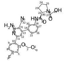 COCOc1cc(F)ccc1-c1cc(-c2cccc(NC(=O)[C@H]3CCCN3C(=O)O)c2)c(C#N)c(N)n1